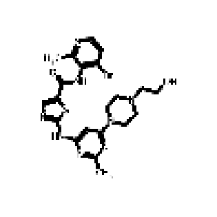 Cc1nc(Nc2ncc(C(=O)Nc3c(Br)ccnc3C)s2)cc(N2CCN(CCO)CC2)n1